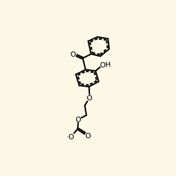 [O]C(=O)OCCOc1ccc(C(=O)c2ccccc2)c(O)c1